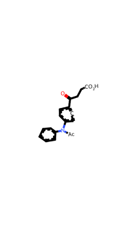 CC(=O)N(c1ccccc1)c1ccc(C(=O)CCC(=O)O)cc1